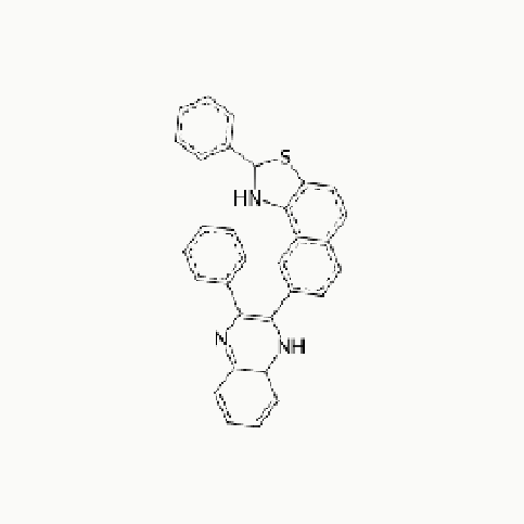 C1=CC2=NC(c3ccccc3)=C(c3ccc4ccc5c(c4c3)NC(c3ccccc3)S5)NC2C=C1